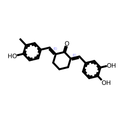 Cc1cc(/C=C2\CCC/C(=C\c3ccc(O)c(O)c3)C2=O)ccc1O